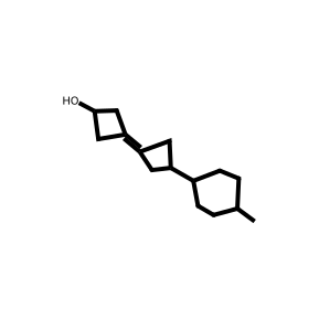 CC1CCC(C2CC(=C3CC(O)C3)C2)CC1